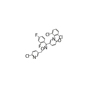 O=c1ccc(C(=NOCc2ccc(Cl)nc2)c2ccc(F)cc2F)cn1-c1c(Cl)cccc1Cl